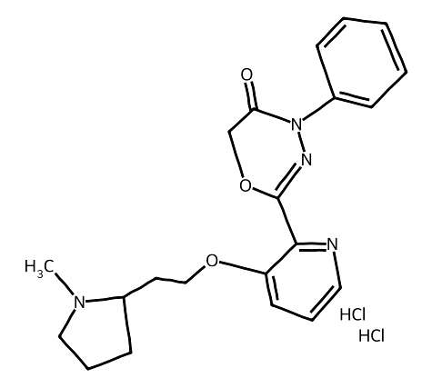 CN1CCCC1CCOc1cccnc1C1=NN(c2ccccc2)C(=O)CO1.Cl.Cl